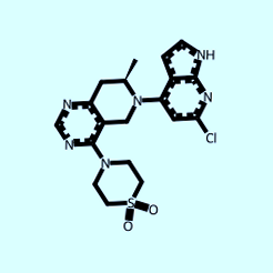 C[C@@H]1Cc2ncnc(N3CCS(=O)(=O)CC3)c2CN1c1cc(Cl)nc2[nH]ccc12